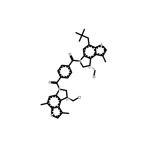 Cc1cc2c(c3c(C)csc13)[C@H](CCl)CN2C(=O)c1ccc(C(=O)N2C[C@@H](CCl)c3c2cc(CC(C)(C)C)c2scc(C)c32)cc1